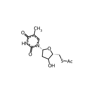 CC(=O)SC[C@H]1O[C@@H](n2cc(C)c(=O)[nH]c2=O)CC1O